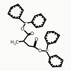 CC(CC(=O)O[I+](c1ccccc1)c1ccccc1)C(=O)O[I+](c1ccccc1)c1ccccc1